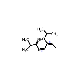 CC(C)OC(/C=N\C(=N)C(C)C)=C/I